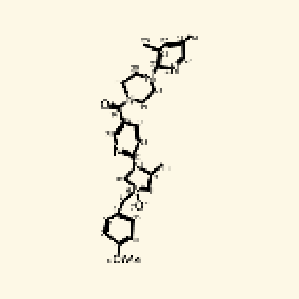 COc1ccc(C[N+]2([O-])CC(C)N(c3ccc(C(=O)N4CCN(c5ncc(C)cc5C)CC4)cn3)C2)cc1